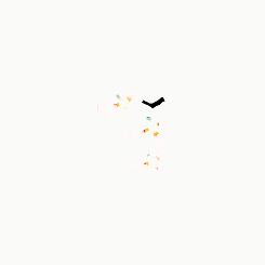 C=CC.O=S(=O)(O)F.O=S(=O)(O)F.O=S(=O)(O)F